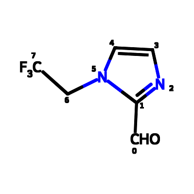 O=Cc1nccn1CC(F)(F)F